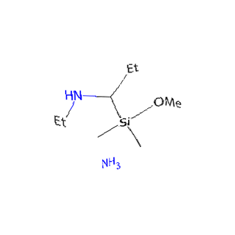 CCNC(CC)[Si](C)(C)OC.N